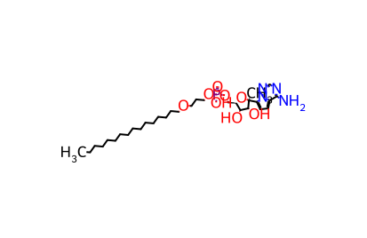 CCCCCCCCCCCCCCCCOCCCOP(=O)(O)OC[C@H]1O[C@@](C)(c2ccc3c(N)ncnn23)[C@H](O)[C@@H]1O